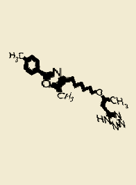 Cc1ccc(-c2nc(CCCCCCOC(C)Cc3nnn[nH]3)c(C)o2)cc1